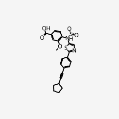 COc1cc(C(=O)O)ccc1N(c1cnc(-c2ccc(C#CC3CCCC3)cc2)s1)[SH](=O)=O